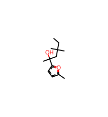 CCC(C)(C)CC(C)(O)c1ccc(C)o1